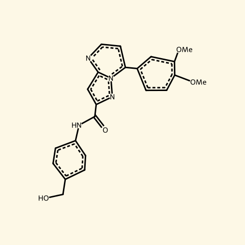 COc1ccc(-c2ccnc3cc(C(=O)Nc4ccc(CO)cc4)nn23)cc1OC